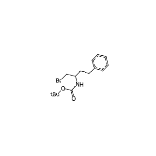 CC(C)(C)OC(=O)NC(CBr)CCc1ccccc1